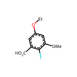 CCOc1cc(OC)c(F)c(C(=O)O)c1